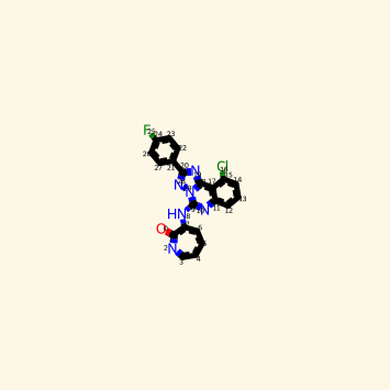 O=c1nccccc1Nc1nc2cccc(Cl)c2c2nc(-c3ccc(F)cc3)nn12